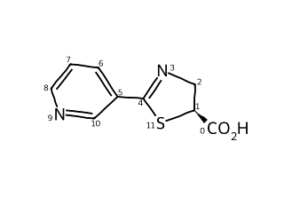 O=C(O)[C@@H]1CN=C(c2cccnc2)S1